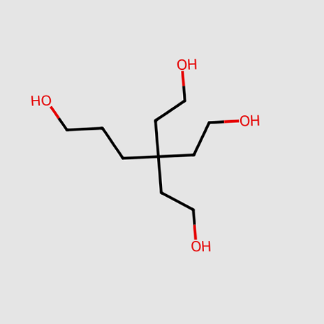 OCCCC(CCO)(CCO)CCO